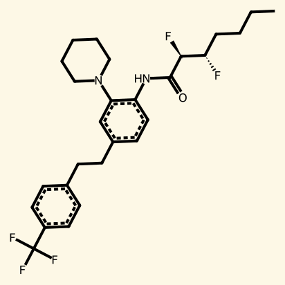 CCCC[C@H](F)[C@H](F)C(=O)Nc1ccc(CCc2ccc(C(F)(F)F)cc2)cc1N1CCCCC1